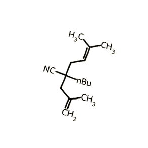 C=C(C)CC(C#N)(CC=C(C)C)CCCC